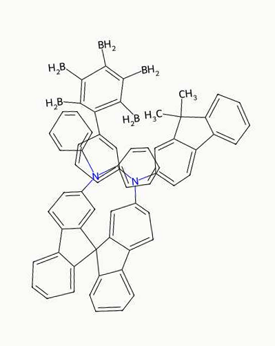 Bc1c(B)c(B)c(-c2cccc(N(c3ccc4c(c3)C(C)(C)c3ccccc3-4)c3ccc4c(c3)C3(c5ccccc5-c5ccc(N(c6ccccc6)c6ccccc6)cc53)c3ccccc3-4)c2)c(B)c1B